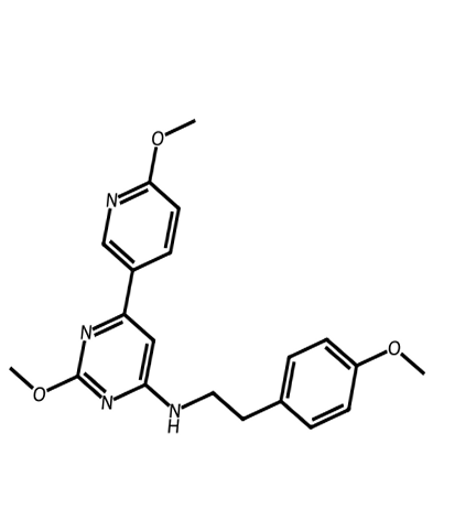 COc1ccc(CCNc2cc(-c3ccc(OC)nc3)nc(OC)n2)cc1